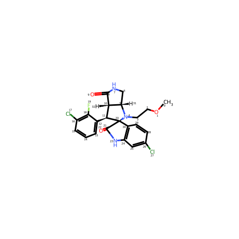 COCCN1[C@H]2CNC(=O)[C@H]2[C@H](c2cccc(Cl)c2F)[C@]12C(=O)Nc1cc(Cl)ccc12